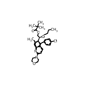 CCCCOC(COC(=O)C(C)(C)C)c1c(C)cc2nc(N3CCOCC3)ccc2c1-c1ccc(Cl)cc1